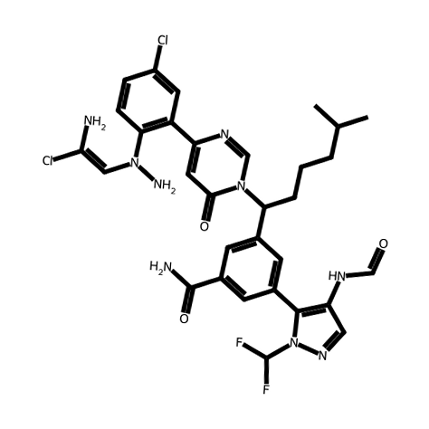 CC(C)CCCC(c1cc(C(N)=O)cc(-c2c(NC=O)cnn2C(F)F)c1)n1cnc(-c2cc(Cl)ccc2N(N)/C=C(\N)Cl)cc1=O